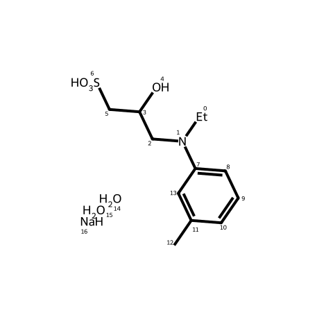 CCN(CC(O)CS(=O)(=O)O)c1cccc(C)c1.O.O.[NaH]